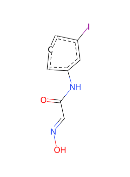 O=C(C=NO)Nc1cccc(I)c1